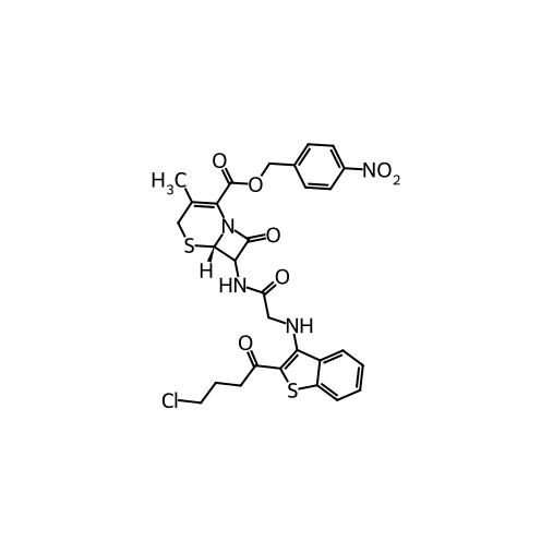 CC1=C(C(=O)OCc2ccc([N+](=O)[O-])cc2)N2C(=O)C(NC(=O)CNc3c(C(=O)CCCCl)sc4ccccc34)[C@@H]2SC1